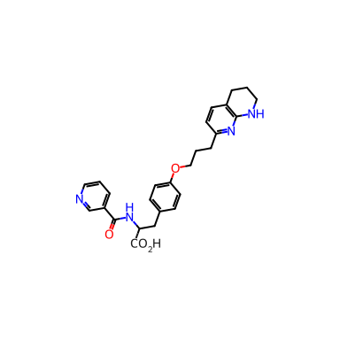 O=C(NC(Cc1ccc(OCCCc2ccc3c(n2)NCCC3)cc1)C(=O)O)c1cccnc1